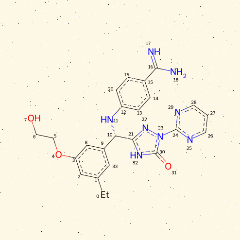 CCc1cc(OCCO)cc([C@H](Nc2ccc(C(=N)N)cc2)c2nn(-c3ncccn3)c(=O)[nH]2)c1